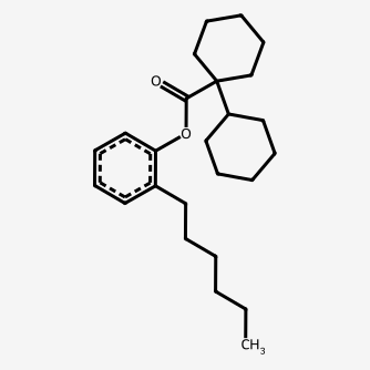 CCCCCCc1ccccc1OC(=O)C1(C2CCCCC2)CCCCC1